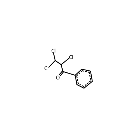 O=C(c1ccccc1)C(Cl)C(Cl)Cl